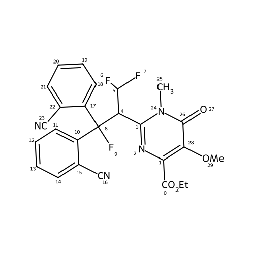 CCOC(=O)c1nc(C(C(F)F)C(F)(c2ccccc2C#N)c2ccccc2C#N)n(C)c(=O)c1OC